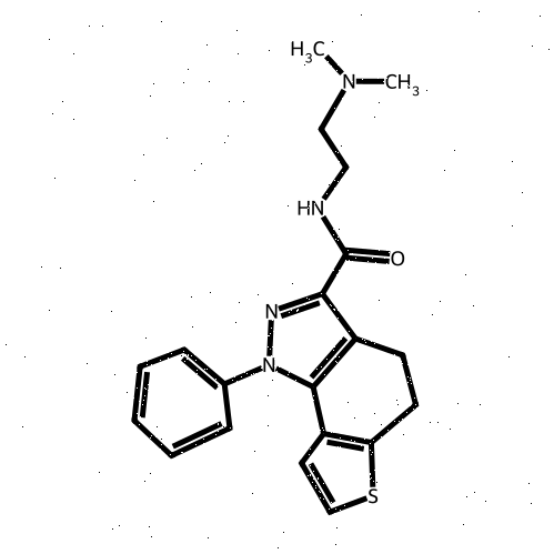 CN(C)CCNC(=O)c1nn(-c2ccccc2)c2c1CCc1sccc1-2